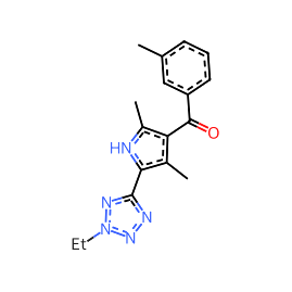 CCn1nnc(-c2[nH]c(C)c(C(=O)c3cccc(C)c3)c2C)n1